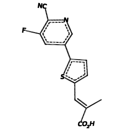 C/C(=C\c1ccc(-c2cnc(C#N)c(F)c2)s1)C(=O)O